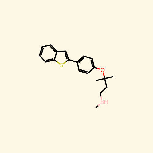 CBCCC(C)(C)Oc1ccc(-c2cc3ccccc3s2)cc1